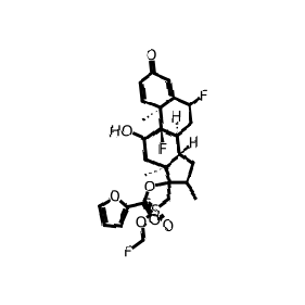 CC1C[C@H]2[C@@H]3CC(F)C4=CC(=O)C=C[C@]4(C)[C@@]3(F)C(O)C[C@]2(C)C1(CS(=O)(=S)OCF)OC(=O)c1ccco1